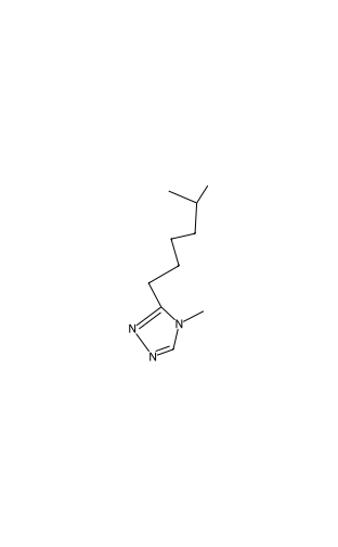 CC(C)CCCCc1nncn1C